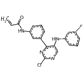 C=CC(=O)Nc1cccc(-c2nc(Cl)ncc2Nc2cccc(F)c2)c1